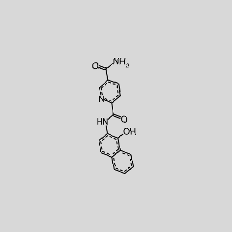 NC(=O)c1ccc(C(=O)Nc2ccc3ccccc3c2O)nc1